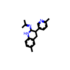 CC(C)=NC1Nc2ccc(C)cc2CC1c1ccc(C)nc1